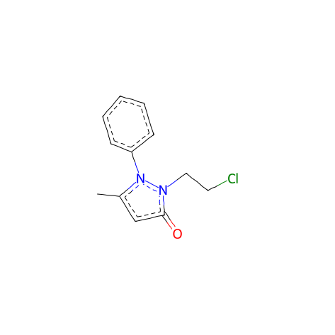 Cc1cc(=O)n(CCCl)n1-c1ccccc1